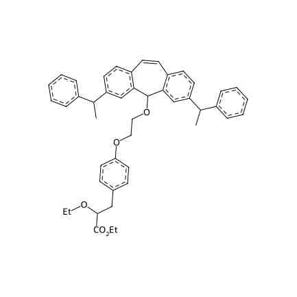 CCOC(=O)C(Cc1ccc(OCCOC2c3cc(C(C)c4ccccc4)ccc3C=Cc3ccc(C(C)c4ccccc4)cc32)cc1)OCC